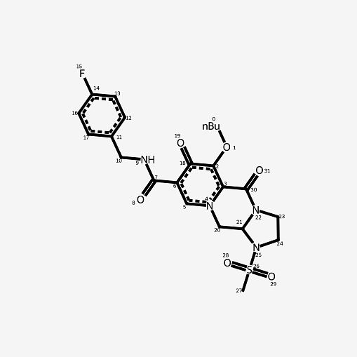 CCCCOc1c2n(cc(C(=O)NCc3ccc(F)cc3)c1=O)CC1N(CCN1S(C)(=O)=O)C2=O